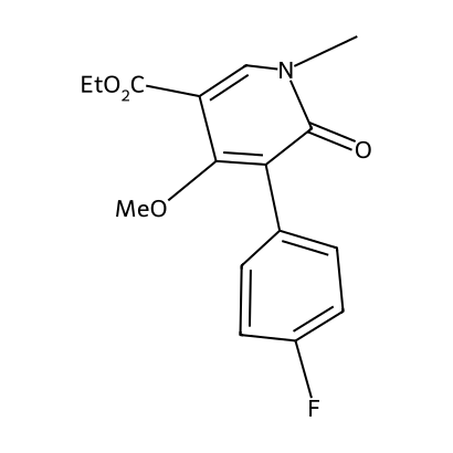 CCOC(=O)c1cn(C)c(=O)c(-c2ccc(F)cc2)c1OC